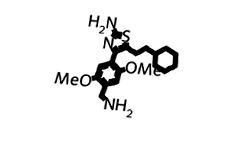 COc1cc(-c2nc(N)sc2CCC2CCCCC2)c(OC)cc1CN